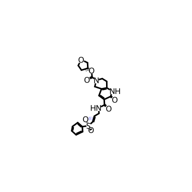 O=C(NC/C=C/S(=O)(=O)c1ccccc1)c1cc2c([nH]c1=O)CCN(C(=O)O[C@H]1CCOC1)C2